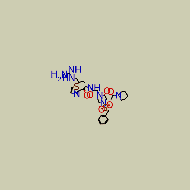 N=C(N)NCCC[C@H](NC(=O)CN1CCN(S(=O)(=O)Cc2ccccc2)[C@@H](CC(=O)N2CCCCC2)C1=O)C(=O)c1nccs1